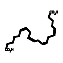 O=C(O)CCC/C=C\C/C=C\C/C=C\C/C=C\CCCCC(=O)O